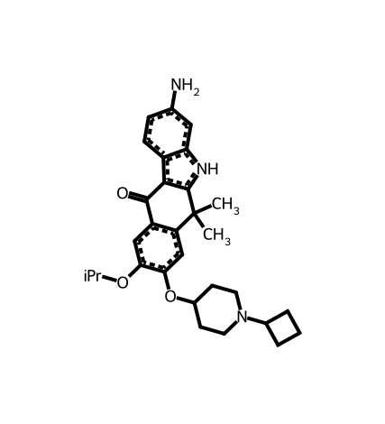 CC(C)Oc1cc2c(cc1OC1CCN(C3CCC3)CC1)C(C)(C)c1[nH]c3cc(N)ccc3c1C2=O